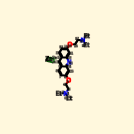 CCN(CC)CCOc1ccc2cc3ccc(OCCN(CC)CC)cc3nc2c1.[Cl-].[Cl-].[Zn+2]